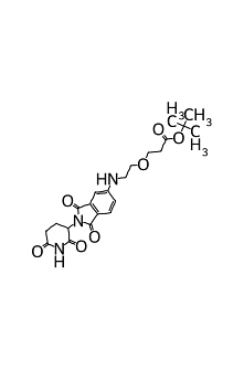 CC(C)(C)OC(=O)CCOCCNc1ccc2c(c1)C(=O)N(C1CCC(=O)NC1=O)C2=O